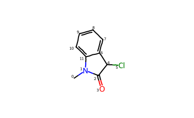 CN1C(=O)C(Cl)c2ccccc21